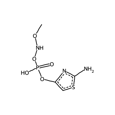 CONOP(=O)(O)Oc1csc(N)n1